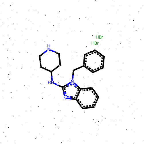 Br.Br.c1ccc(Cn2c(NC3CCNCC3)nc3ccccc32)cc1